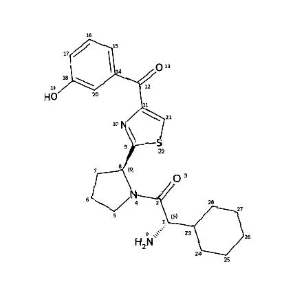 N[C@H](C(=O)N1CCC[C@H]1c1nc(C(=O)c2cccc(O)c2)cs1)C1CCCCC1